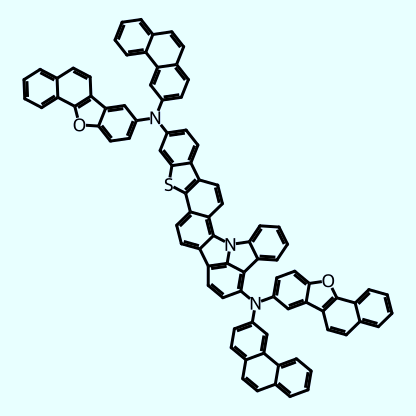 c1ccc2c(c1)ccc1ccc(N(c3ccc4c(c3)sc3c4ccc4c3ccc3c5ccc(N(c6ccc7ccc8ccccc8c7c6)c6ccc7oc8c9ccccc9ccc8c7c6)c6c7ccccc7n(c43)c56)c3ccc4oc5c6ccccc6ccc5c4c3)cc12